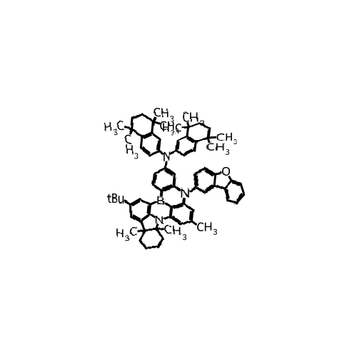 Cc1cc2c3c(c1)N1c4c(cc(C(C)(C)C)cc4C4(C)CCCCC14C)B3c1ccc(N(c3ccc4c(c3)C(C)(C)CCC4(C)C)c3ccc4c(c3)C(C)(C)CCC4(C)C)cc1N2c1ccc2oc3ccccc3c2c1